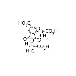 C=C(C)C(=O)O.C=C(C)C(=O)O.O=C(O)c1ccc2c(c1)C(=O)OC2=O